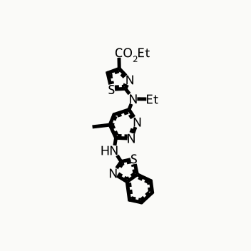 CCOC(=O)c1csc(N(CC)c2cc(C)c(Nc3nc4ccccc4s3)nn2)n1